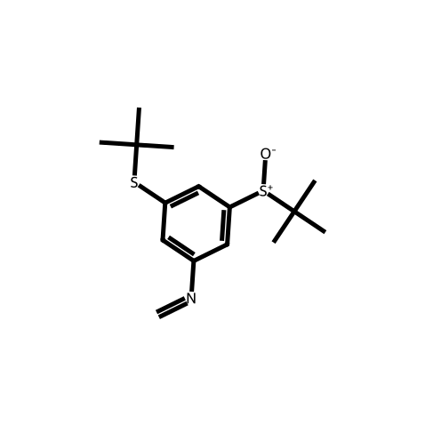 C=Nc1cc(SC(C)(C)C)cc([S+]([O-])C(C)(C)C)c1